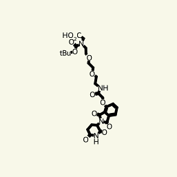 CC(C)(C)OC(=O)N(CCOCCOCCNC(=O)COc1cccc2c1C(=O)N(C1CCC(=O)NC1=O)C2=O)CC(=O)O